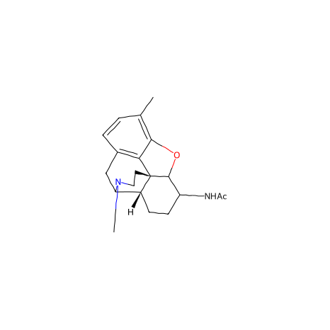 CC(=O)NC1CC[C@@H]2C3Cc4ccc(C)c5c4[C@]2(CCN3C)C1O5